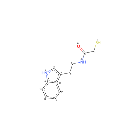 O=C(CS)NCCc1c[nH]c2ccccc12